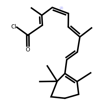 CC(C=CC1=C(C)CCCC1(C)C)=C/C=C\C(C)=CC(=O)Cl